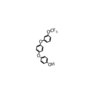 Oc1ccc(Oc2ccc(Oc3cccc(OC(F)(F)F)c3)cc2)cc1